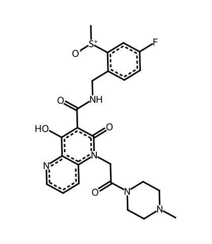 CN1CCN(C(=O)Cn2c(=O)c(C(=O)NCc3ccc(F)cc3[S+](C)[O-])c(O)c3ncccc32)CC1